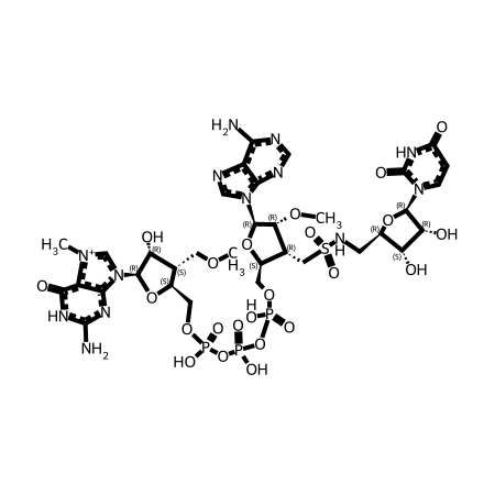 COC[C@H]1[C@@H](O)[C@H](n2c[n+](C)c3c(=O)[nH]c(N)nc32)O[C@@H]1COP(=O)(O)OP(=O)(O)OP(=O)(O)OC[C@H]1O[C@@H](n2cnc3c(N)ncnc32)[C@H](OC)[C@@H]1CS(=O)(=O)NC[C@H]1O[C@@H](n2ccc(=O)[nH]c2=O)[C@H](O)[C@@H]1O